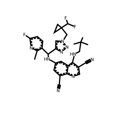 Cc1nc(F)ccc1C(Nc1cc(C#N)c2ncc(C#N)c(NCC(C)(C)C)c2c1)c1cn(CC2(C(F)F)CC2)nn1